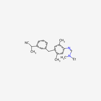 CCN(C)/C=N\c1cc(C)c(Cc2cccc(C(C)C#N)c2)cc1C